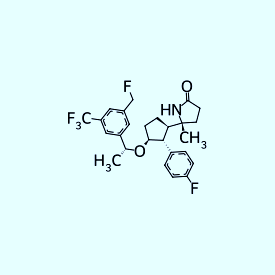 C[C@@H](O[C@H]1CC[C@@H]([C@@]2(C)CCC(=O)N2)[C@@H]1c1ccc(F)cc1)c1cc(CF)cc(C(F)(F)F)c1